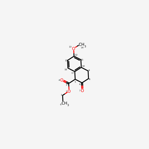 CCOC(=O)C1C(=O)CCc2cc(OC)ccc21